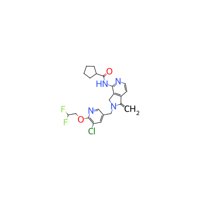 C=C1c2ccnc(NC(=O)C3CCCC3)c2CN1Cc1cnc(OCC(F)F)c(Cl)c1